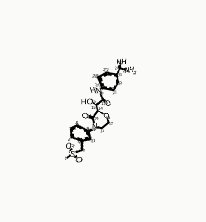 CS(=O)(=O)Cc1cccc(N2CCO[C@H]([C@@H](O)C(=O)Nc3ccc(C(=N)N)cc3)C2=O)c1